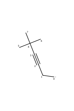 [CH2]CC#CC(C)(C)C